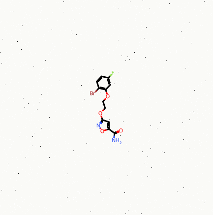 NC(=O)c1cc(OCCOc2cc(F)ccc2Br)no1